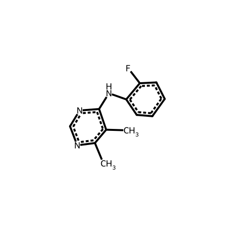 Cc1ncnc(Nc2ccccc2F)c1C